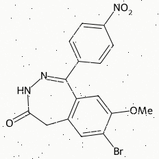 COc1cc2c(cc1Br)CC(=O)NN=C2c1ccc([N+](=O)[O-])cc1